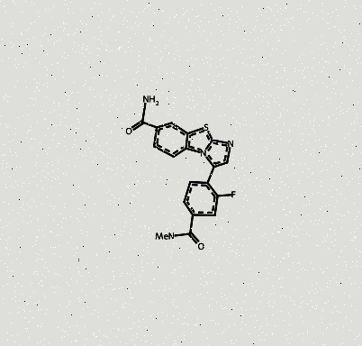 CNC(=O)c1ccc(-c2cnc3sc4cc(C(N)=O)ccc4n23)c(F)c1